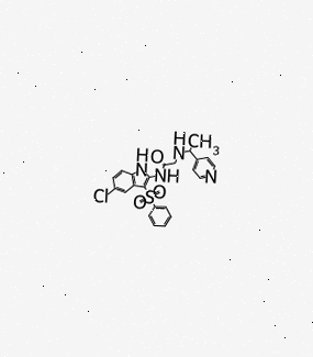 CC(NCC(=O)Nc1[nH]c2ccc(Cl)cc2c1S(=O)(=O)c1ccccc1)c1ccncc1